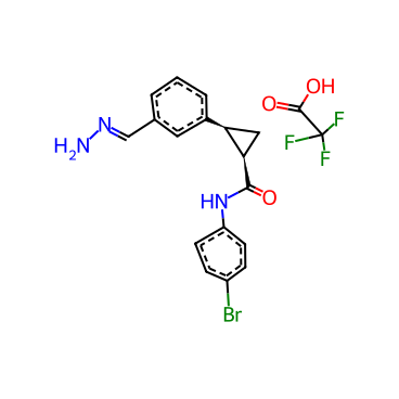 NN=Cc1cccc([C@H]2C[C@H]2C(=O)Nc2ccc(Br)cc2)c1.O=C(O)C(F)(F)F